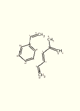 C=CC=CC(=C)C.C=Cc1ccccc1